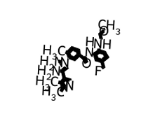 COCCNc1ccc(CF)cc1NC(=O)c1ccc(C)c(N(N)/C=C(\N)c2cnn(C)c2C)c1